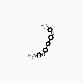 Nc1ccc(Oc2ccc(-c3ccc(-c4ccc(Oc5ccc(N)cc5)cc4)cc3)cc2)cc1